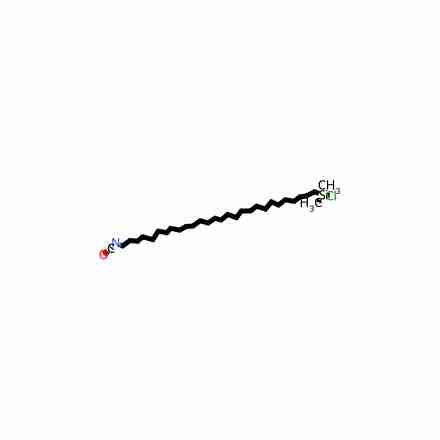 C[Si](C)(Cl)CCCCCCCCCCCCCCCCCCCCCCCCCCCCN=C=O